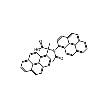 CC(=O)N(c1ccc2ccc3cccc4ccc1c2c34)C(C)(C(=O)O)c1ccc2ccc3cccc4ccc1c2c34